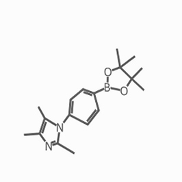 Cc1nc(C)n(-c2ccc(B3OC(C)(C)C(C)(C)O3)cc2)c1C